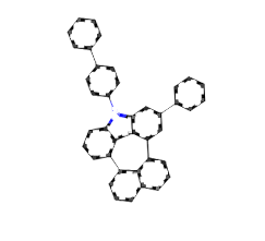 c1ccc(-c2ccc(-n3c4cccc5c4c4c(cc(-c6ccccc6)cc43)-c3cccc4cccc-5c34)cc2)cc1